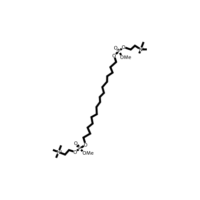 COP(=O)(OCCCCCCCCCCCCCCCCOP(=O)(OC)OCC[N+](C)(C)C)OCC[N+](C)(C)C